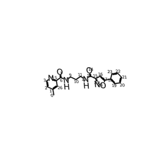 Cc1ccnc(C(=O)NCCCNC(=O)c2cc(-c3ccccc3)on2)c1